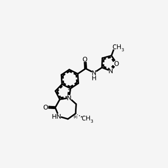 Cc1cc(NC(=O)c2ccc3cc4n(c3c2)C[C@H](C)CNC4=O)no1